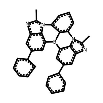 Cc1nc2cc(-c3ccccc3)cc3c2n1-c1cccc2c1B3c1cc(-c3ccccc3)cc3nc(C)n-2c13